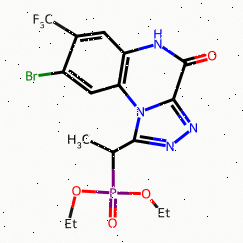 CCOP(=O)(OCC)C(C)c1nnc2c(=O)[nH]c3cc(C(F)(F)F)c(Br)cc3n12